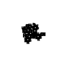 Cc1ccccc1CNC(=O)[C@H]1N(C(=O)[C@@H](O)[C@H](Cc2ccccc2)NS(=O)(=O)c2cccc(C#N)c2)CSC1(C)C